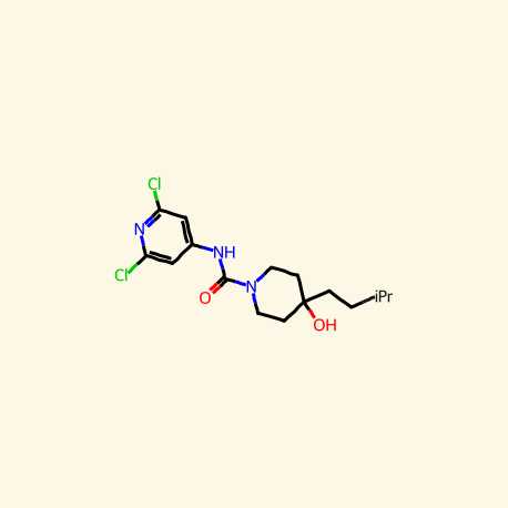 CC(C)CCC1(O)CCN(C(=O)Nc2cc(Cl)nc(Cl)c2)CC1